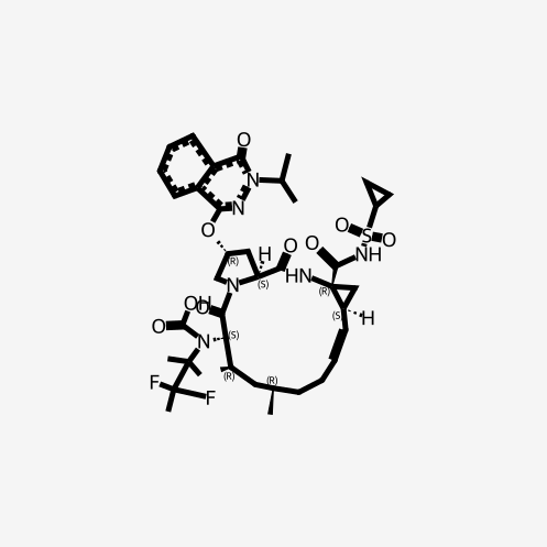 CC(C)n1nc(O[C@@H]2C[C@H]3C(=O)N[C@]4(C(=O)NS(=O)(=O)C5CC5)C[C@H]4C=CCC[C@@H](C)C[C@@H](C)[C@H](N(C(=O)O)C(C)(C)C(C)(F)F)C(=O)N3C2)c2ccccc2c1=O